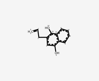 C=CCc1cc(O)c2ccccc2c1O